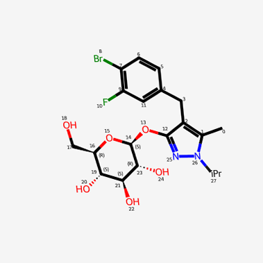 Cc1c(Cc2ccc(Br)c(F)c2)c(O[C@@H]2O[C@H](CO)[C@@H](O)[C@H](O)[C@H]2O)nn1C(C)C